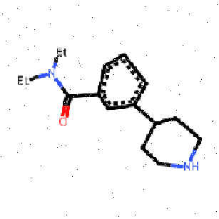 CCN(CC)C(=O)c1cccc(C2CCNCC2)c1